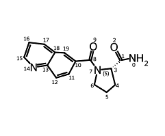 NC(=O)[C@@H]1CCCN1C(=O)c1ccc2ncccc2c1